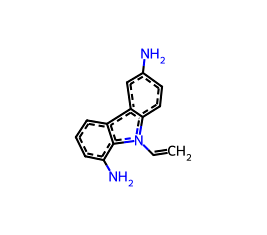 C=Cn1c2ccc(N)cc2c2cccc(N)c21